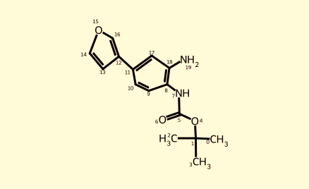 CC(C)(C)OC(=O)Nc1ccc(-c2ccoc2)cc1N